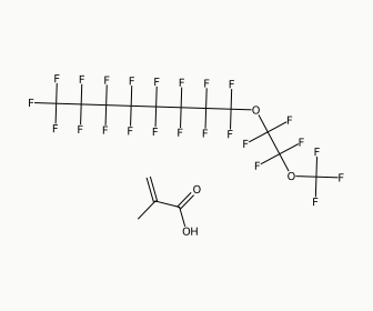 C=C(C)C(=O)O.FC(F)(F)OC(F)(F)C(F)(F)OC(F)(F)C(F)(F)C(F)(F)C(F)(F)C(F)(F)C(F)(F)C(F)(F)C(F)(F)F